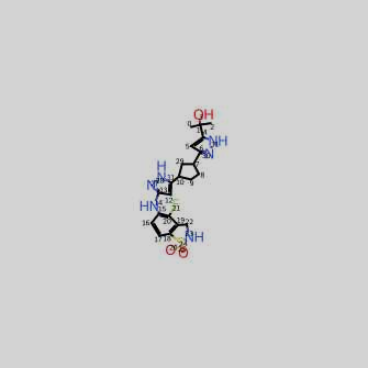 CC(C)(O)c1cc(C2CCC(c3cc(Nc4ccc5c(c4F)CNS5(=O)=O)n[nH]3)C2)n[nH]1